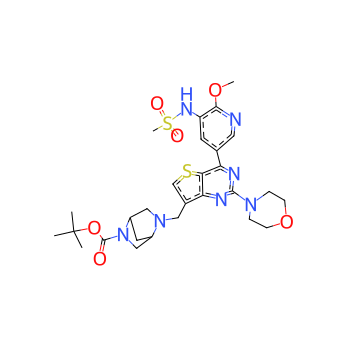 COc1ncc(-c2nc(N3CCOCC3)nc3c(CN4CC5CC4CN5C(=O)OC(C)(C)C)csc23)cc1NS(C)(=O)=O